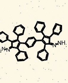 N/N=C1\C(c2ccccc2)=C(c2ccccc2)C(c2ccc(C3=C(c4ccccc4)/C(=N/N)C(c4ccccc4)=C3c3ccccc3)cc2)=C1c1ccccc1